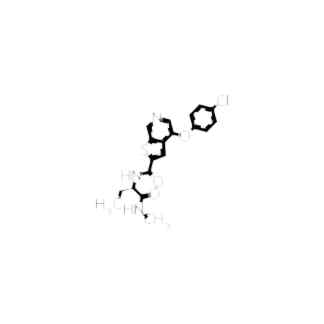 CC[C@@H](NC(=O)c1cc2c(Oc3ccc(Cl)cc3)cncc2s1)C(=O)NC